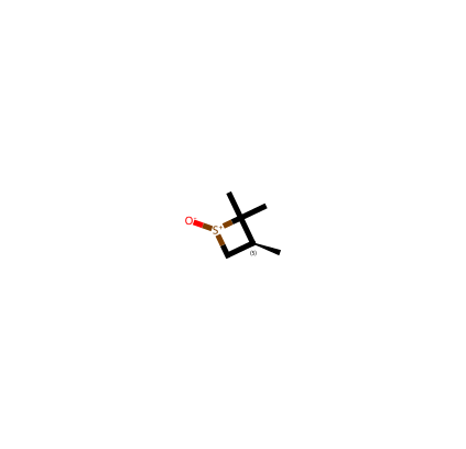 C[C@H]1C[S+]([O-])C1(C)C